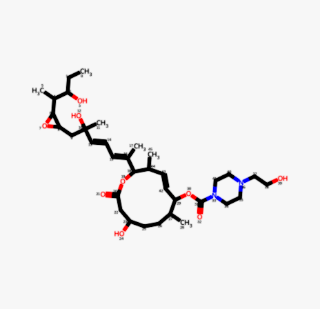 CCC(O)C(C)C1OC1CC(C)(O)/C=C/C=C(\C)C1OC(=O)CC(O)CCC(C)C(OC(=O)N2CCN(CCO)CC2)/C=C/C1C